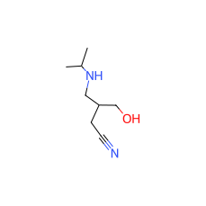 CC(C)NCC(CO)CC#N